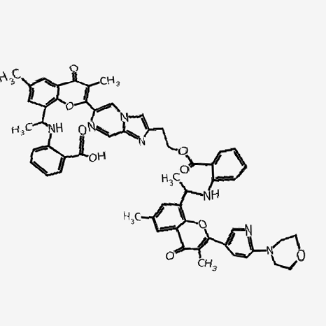 Cc1cc(C(C)Nc2ccccc2C(=O)OCCc2cn3cc(-c4oc5c(C(C)Nc6ccccc6C(=O)O)cc(C)cc5c(=O)c4C)ncc3n2)c2oc(-c3ccc(N4CCOCC4)nc3)c(C)c(=O)c2c1